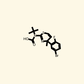 CC1(c2cc(Br)ccc2F)C=CSC(N(C(=O)O)C(C)(C)C)=N1